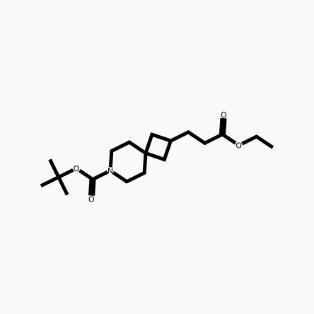 CCOC(=O)CCC1CC2(CCN(C(=O)OC(C)(C)C)CC2)C1